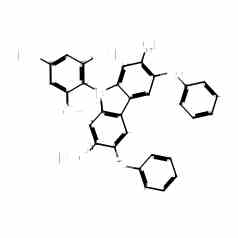 Cc1cc(C)c(B2c3cc(C)c(Sc4ccccc4)cc3-c3cc(Sc4ccccc4)c(C)cc32)c(C)c1